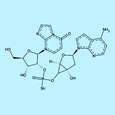 Nc1ccnc2c1ccn2[C@H]1C[C@@]2(O)C(OP(=O)(S)O[C@@H]3[C@H](O)[C@@H](CO)O[C@H]3n3ccc(=O)n4ccnc34)[C@H]2O1